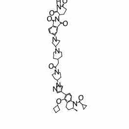 C[C@H]1CCc2c(ccc(-c3cnn(C4CCN(C(=O)CC5CCN(C6CN(c7ccc8c(c7)C(=O)N(C7CCC(=O)NC7=O)C8=O)C6)CC5)CC4)c3)c2OC2CCC2)N1C(=O)C1CC1